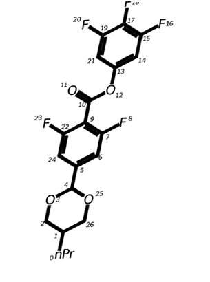 CCCC1COC(c2cc(F)c(C(=O)Oc3cc(F)c(F)c(F)c3)c(F)c2)OC1